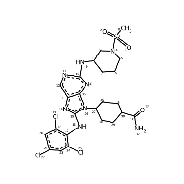 CS(=O)(=O)N1CCCC(Nc2ncc3nc(Nc4c(Cl)cc(Cl)cc4Cl)n(C4CCC(C(N)=O)CC4)c3n2)C1